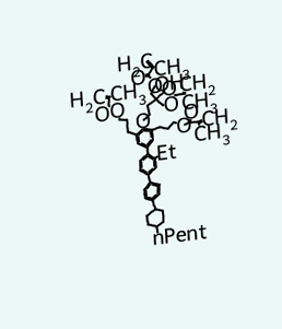 C=C(C)C(=O)OCCCc1cc(-c2ccc(-c3ccc(C4CCC(CCCCC)CC4)cc3)cc2CC)cc(CCCOC(=O)C(=C)C)c1OCCC(CO)(COC(=O)C(=C)C)COC(=O)C(=C)C